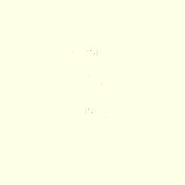 C=C(CS(N)(=O)=O)[C@H](C)NC(C)=O